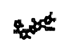 COCC1Cn2cc(C3NC(Nc4ccnn4C)=NC=C3C)nc2C(=O)N1Cc1ccc(F)c(F)c1